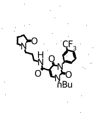 CCCCn1cc(C(=O)NCCCN2CCCC2=O)c(=O)n(-c2cccc(C(F)(F)F)c2)c1=O